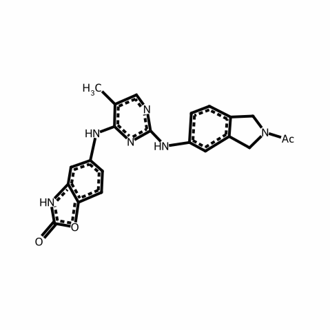 CC(=O)N1Cc2ccc(Nc3ncc(C)c(Nc4ccc5oc(=O)[nH]c5c4)n3)cc2C1